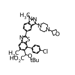 Cc1cc2nc(-c3ccc4c(c3)c(N3CCN(C5COC5)CC3)nn4C)sc2c(-c2ccc(Cl)cc2)c1C(OC(C)(C)C)C(=O)O